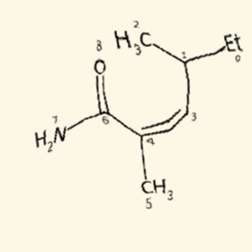 CCC(C)C=C(C)C(N)=O